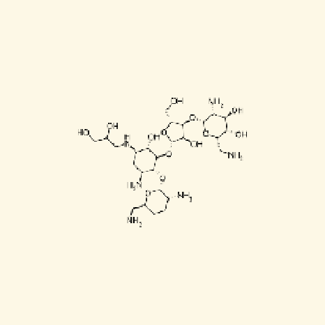 NC[C@@H]1CC[C@@H](N)[C@@H](O[C@H]2[C@H](O[C@@H]3O[C@H](CO)[C@@H](O[C@H]4O[C@@H](CN)[C@@H](O)[C@H](O)[C@H]4N)[C@H]3O)[C@@H](O)[C@H](NCC(O)CO)C[C@@H]2N)O1